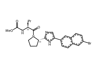 COC(=O)N[C@H](C(=O)N1CCC[C@H]1c1ncc(-c2ccc3cc(Br)ccc3c2)[nH]1)C(C)C